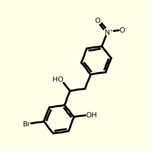 O=[N+]([O-])c1ccc(CC(O)c2cc(Br)ccc2O)cc1